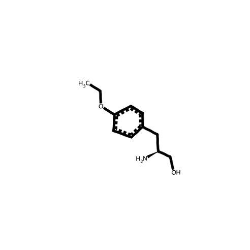 CCOc1ccc(C[C@H](N)CO)cc1